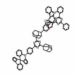 c1ccc(-c2nc(-c3ccccc3)nc(-c3ccccc3-n3c4ccccc4c4c5oc6cc(C7C8CC9CC7CC(c7nc(-c%10ccc(N%11c%12ccccc%12C%12(c%13ccccc%13-c%13ccccc%13%12)c%12ccccc%12%11)cc%10)nc(C%10%11CC%12CC(CC(C%12)C%10)C%11)n7)(C9)C8)ccc6c5ccc43)n2)cc1